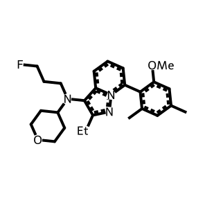 CCc1nn2c(-c3c(C)cc(C)cc3OC)cccc2c1N(CCCF)C1CCOCC1